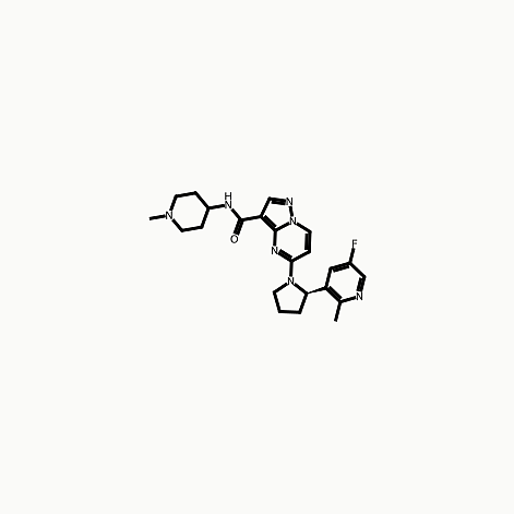 Cc1ncc(F)cc1[C@H]1CCCN1c1ccn2ncc(C(=O)NC3CCN(C)CC3)c2n1